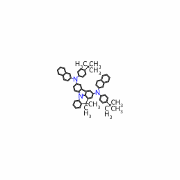 CC(C)(C)c1ccc(N(c2ccc3ccccc3c2)c2ccc3c(c2)c2cc(N(c4ccc(C(C)(C)C)cc4)c4ccc5ccccc5c4)cc4c2n3-c2ccccc2C4(C)C)cc1